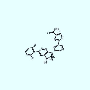 CC1(C)[C@H]2CC[C@]1(c1cncc(-c3nc(C(N)=O)co3)n1)c1nnc(-c3c(F)cccc3F)cc12